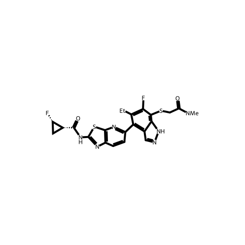 CCc1c(F)c(SCC(=O)NC)c2[nH]ncc2c1-c1ccc2nc(NC(=O)[C@@H]3C[C@@H]3F)sc2n1